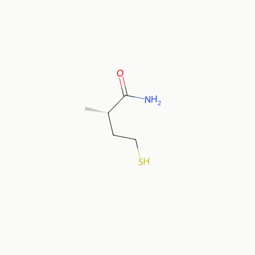 C[C@@H](CCS)C(N)=O